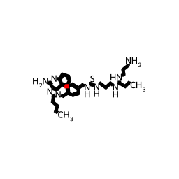 CCCCc1nc2c(N)nc3ccccc3c2n1Cc1ccc(CNC(=S)NCCCNC(CCC)NCCCN)cc1